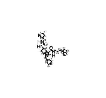 O=C(NCc1cccnc1)Nc1ccc2c(c1)c(C(=O)NCCCN1CCCCC1)cn2Cc1ccccc1